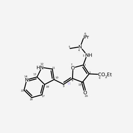 CCOC(=O)C1=C(NN(C)C(C)C)O/C(=C\c2c[nH]c3ncccc23)C1=O